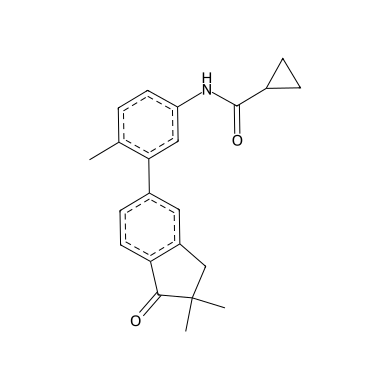 Cc1ccc(NC(=O)C2CC2)cc1-c1ccc2c(c1)CC(C)(C)C2=O